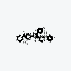 CC1(C(=O)N2CCCCC2)COC(c2nc(-c3ccc(F)cc3)c(-c3ccnc(Nc4ccccc4)n3)[nH]2)OC1